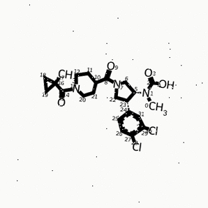 CN(C(=O)O)[C@H]1CN(C(=O)C2CCN(C(=O)C3(C)CC3)CC2)C[C@H]1c1ccc(Cl)c(Cl)c1